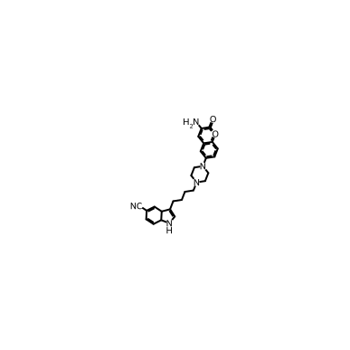 N#CC1=CC2C(CCCCN3CCN(c4ccc5oc(=O)c(N)cc5c4)CC3)=CNC2C=C1